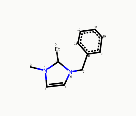 CCC1N(C)C=CN1Cc1ccccc1